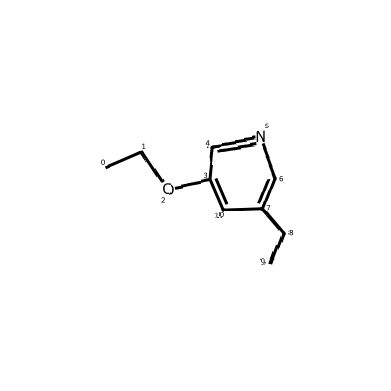 CCOc1[c]ncc(CC)c1